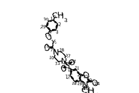 Cc1ccc(OCC(=O)N2CCN(S(=O)(=O)c3ccc4c(c3)oc(=O)n4C)CC2)cc1